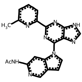 CC(=O)Nc1cc2c(ccn2-c2nc(-c3cccc(C)n3)nc3[nH]cnc23)cn1